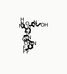 C=N/C(=N\C(=C/C)N1CCN(C(=O)c2cnn(CCO)c2)C(c2cn[nH]c2)C1)c1cnc2ccc(C(F)(F)F)cn12